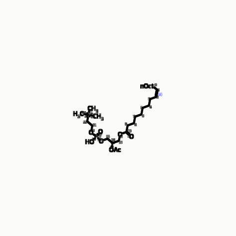 CCCCCCCC/C=C\CCCCCCCC(=O)OC[C@H](COP(=O)(O)OCC[N+](C)(C)C)OC(C)=O